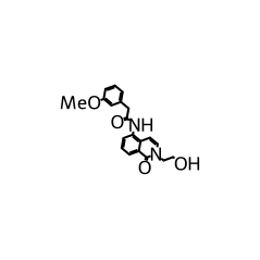 COc1cccc(CC(=O)Nc2cccc3c(=O)n(CCO)ccc23)c1